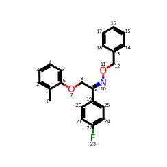 Cc1ccccc1OC/C(=N\OCc1ccccc1)c1ccc(F)cc1